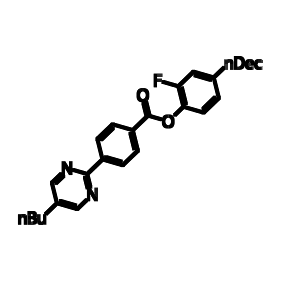 CCCCCCCCCCc1ccc(OC(=O)c2ccc(-c3ncc(CCCC)cn3)cc2)c(F)c1